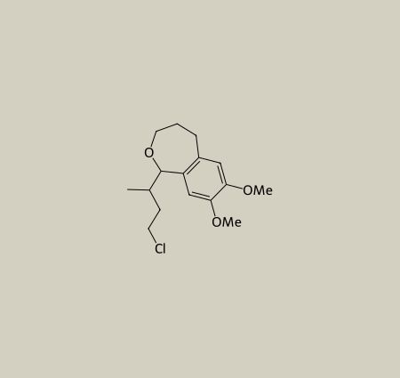 COc1cc2c(cc1OC)C(C(C)CCCl)OCCC2